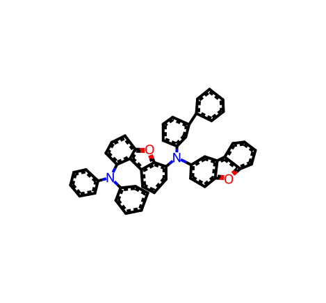 c1ccc(-c2cccc(N(c3ccc4oc5ccccc5c4c3)c3cccc4c3oc3cccc(N(c5ccccc5)c5ccccc5)c34)c2)cc1